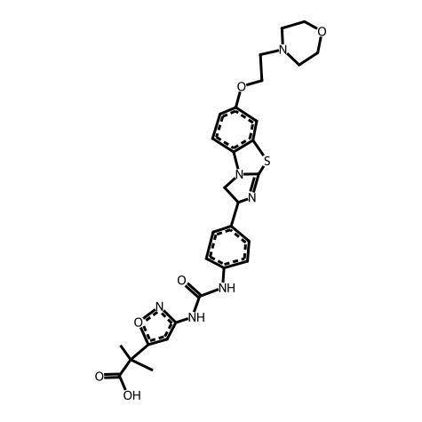 CC(C)(C(=O)O)c1cc(NC(=O)Nc2ccc(C3CN4C(=N3)Sc3cc(OCCN5CCOCC5)ccc34)cc2)no1